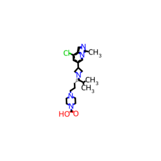 Cc1ncc2c(Cl)cc(C3CN([C@@H](CCCN4CCN(C(=O)O)CC4)C(C)C)C3)cn12